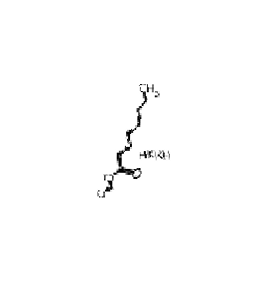 CCCCCCCC(=O)OC=O.[KH].[KH]